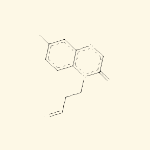 O=CCCn1c(=O)cnc2cc(F)ccc21